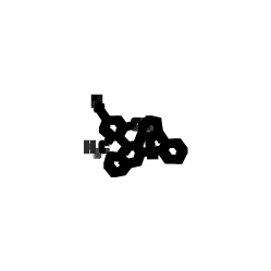 Cc1cc(C#N)cc(C)c1-c1c2ccccc2cc2c1c1cccc3c4ccccc4n2c31